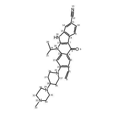 C=Cc1cc2c(=O)c3c4ccc(C#N)cc4[nH]c3n(C(C)C)c2cc1N1CCC(N2CCN(C)CC2)CC1